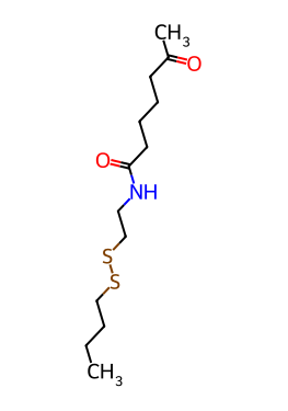 CCCCSSCCNC(=O)CCCCC(C)=O